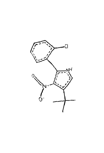 CC(C)(C)c1c[nH]c(-c2ccccc2Cl)c1[N+](=O)[O-]